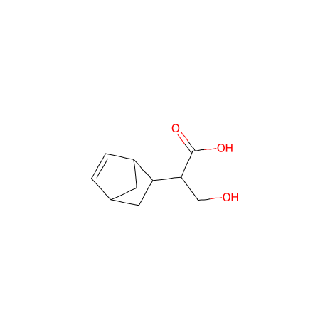 O=C(O)C(CO)C1CC2C=CC1C2